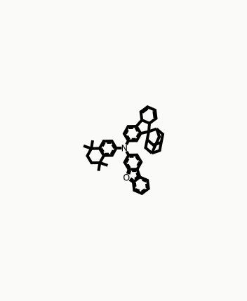 CC1(C)CCC(C)(C)c2cc(N(c3ccc4c(c3)C3(C5CC6CC(C5)CC3C6)C3C=CC=CC43)c3ccc4c(c3)oc3ccccc34)ccc21